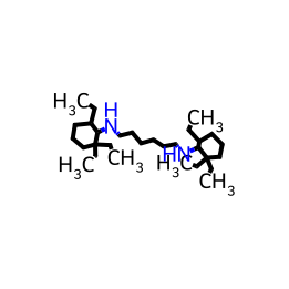 CCC1CCCC(CC)(CC)C1NCCCCCCNC1C(CC)CCCC1(CC)CC